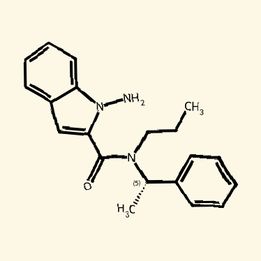 CCCN(C(=O)c1cc2ccccc2n1N)[C@@H](C)c1ccccc1